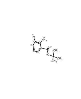 CC(C)(C)OC(=O)c1nccc(Cl)c1N